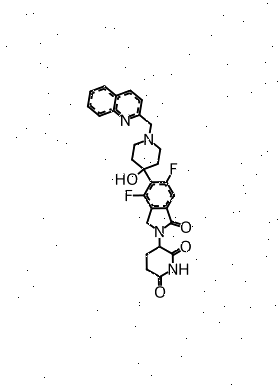 O=C1CCC(N2Cc3c(cc(F)c(C4(O)CCN(Cc5ccc6ccccc6n5)CC4)c3F)C2=O)C(=O)N1